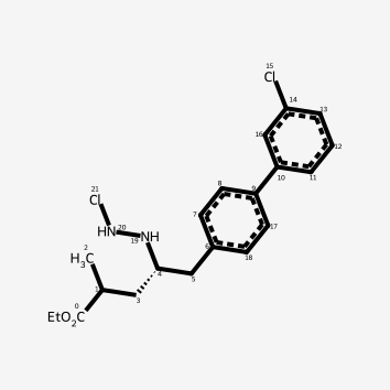 CCOC(=O)C(C)C[C@@H](Cc1ccc(-c2cccc(Cl)c2)cc1)NNCl